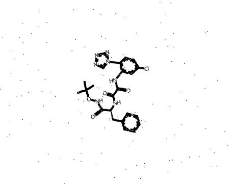 CC(C)(C)ONC(=O)[C@H](Cc1ccccc1)NC(=O)C(=O)Nc1cc(Cl)ccc1-n1cnnn1